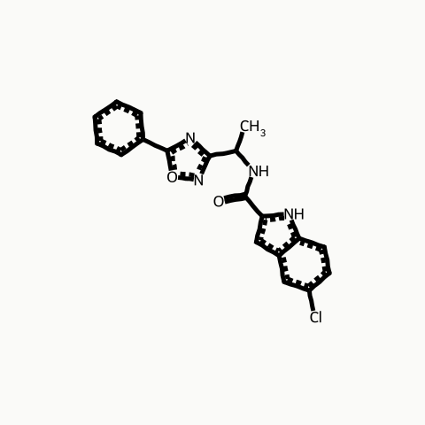 CC(NC(=O)c1cc2cc(Cl)ccc2[nH]1)c1noc(-c2ccccc2)n1